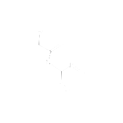 O=PC(NC(=O)CBr)P=O